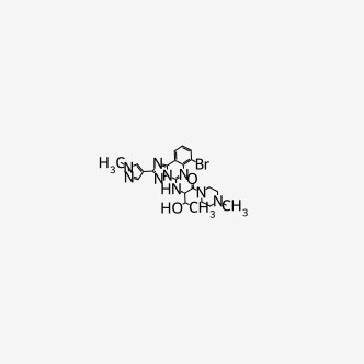 CC(O)[C@@H](Nc1nc2c(Br)cccc2c2nc(-c3cnn(C)c3)nn12)C(=O)N1CCN(C)CC1